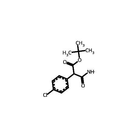 CC(C)(C)OC(=O)C(C([NH])=O)c1ccc(Cl)cc1